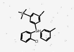 Cc1cccc([SiH](c2cc(C)cc([Si](C)(C)C)c2)c2ccccc2Cl)c1